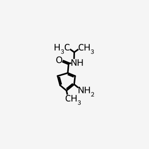 Cc1ccc(C(=O)NC(C)C)cc1N